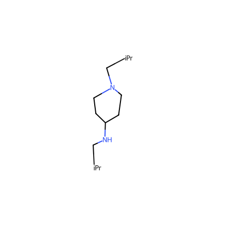 CC(C)CNC1CCN(CC(C)C)CC1